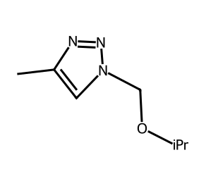 Cc1cn(COC(C)C)nn1